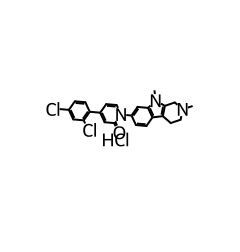 CN1CCc2c(n(C)c3cc(-n4ccc(-c5ccc(Cl)cc5Cl)cc4=O)ccc23)C1.Cl